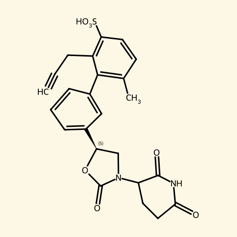 C#CCc1c(S(=O)(=O)O)ccc(C)c1-c1cccc([C@H]2CN(C3CCC(=O)NC3=O)C(=O)O2)c1